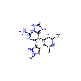 Cc1cc(-c2c(-c3ccn(C)n3)nc(N)n3ncnc23)cc(C(F)(F)F)n1